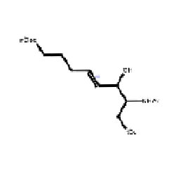 CCCCCCCCCCCCC/C=C/C(O)C(CC(C)(C)C)NC(C)=O